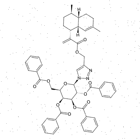 C=C(C(=O)OCc1cn([C@@H]2O[C@H](COC(=O)c3ccccc3)[C@H](OC(=O)c3ccccc3)[C@H](OC(=O)c3ccccc3)[C@H]2OC(=O)c2ccccc2)nn1)[C@@H]1CC[C@@H](C)[C@@H]2CCC(C)=C[C@@H]21